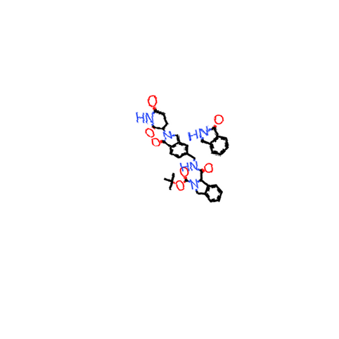 CC(C)(C)OC(=O)N1Cc2ccccc2C1C(=O)NCc1ccc2c(c1)CN(C1CCC(=O)NC1=O)C2=O.O=C1NCc2ccccc21